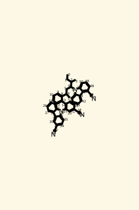 CCC(C)C(CC(C)c1ccccc1-c1ccc(C#N)cc1-n1c2ccccc2c2cc(C#N)ccc21)n1c2ccccc2c2c(C#N)cccc21